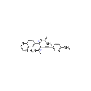 C=C(N)/N=C(\C(C#Cc1ccc(N)nc1)=C(\C)N)c1ccc2nccnc2c1